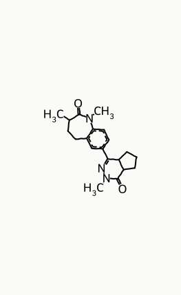 CC1CCc2cc(C3=NN(C)C(=O)C4CCCC34)ccc2N(C)C1=O